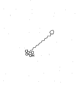 O=C(O)C(Cl)(Cl)CCCCCCCCCCCCCCC1CCCCC1